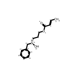 CC=CC(=O)OCCC[SiH](O)Cc1ccccc1